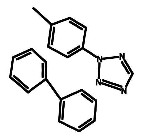 Cc1ccc(-n2ncnn2)cc1.c1ccc(-c2ccccc2)cc1